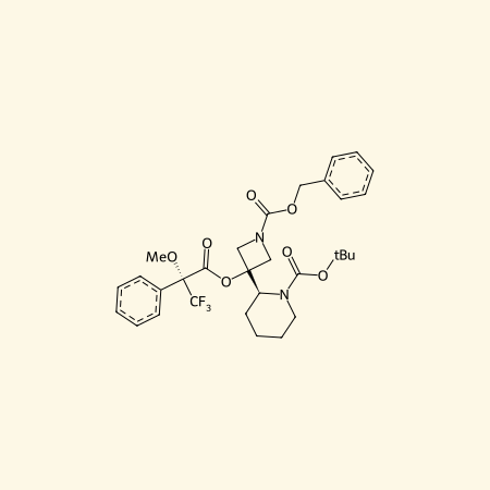 CO[C@@](C(=O)OC1([C@@H]2CCCCN2C(=O)OC(C)(C)C)CN(C(=O)OCc2ccccc2)C1)(c1ccccc1)C(F)(F)F